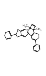 CC12C=CC1(C)[n+]1cc3c(cc1C1=C2CCC(c2ccccc2)=C1)CC(C1=CCCC=C1)O3